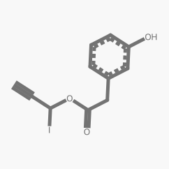 C#CC(I)OC(=O)Cc1cccc(O)c1